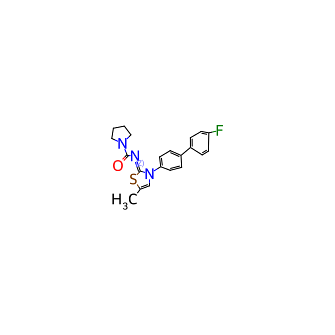 Cc1cn(-c2ccc(-c3ccc(F)cc3)cc2)/c(=N/C(=O)N2CCCC2)s1